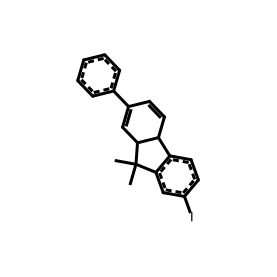 CC1(C)c2cc(I)ccc2C2C=CC(c3ccccc3)=CC21